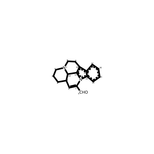 O=CC1=CC2CCCN3CCc4c(n1c1ccccc41)C23